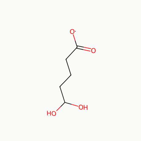 [O]C(=O)CCCC(O)O